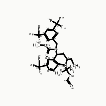 CCC1CC(N(Cc2cc(C(F)(F)F)cc(C(F)(F)F)c2)C(=O)OC)c2cc(C(F)(F)F)ccc2N1C(C)(C)OC=O